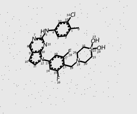 Cc1ccc(Nc2ncc3ccn(-c4cc(F)c(CN5CCS(O)(O)CC5)c(F)c4)c3n2)cc1Cl